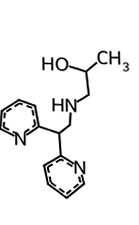 CC(O)CNCC(c1ccccn1)c1ccccn1